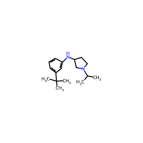 CC(C)N1CCC(Nc2cccc(C(C)(C)C)c2)C1